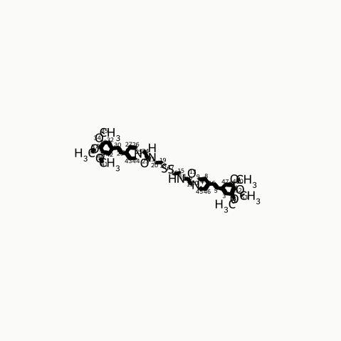 COc1cc(/C=C/c2cc[n+](CC(=O)NCCSSCCNC(=O)C[n+]3ccc(/C=C/c4cc(OC)c(OC)c(OC)c4)cc3)cc2)cc(OC)c1OC